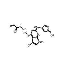 C=CC(=O)N(C)C1CC(Oc2nc(Nc3cnn(CC#N)c3)nc3[nH]cc(Cl)c23)C1